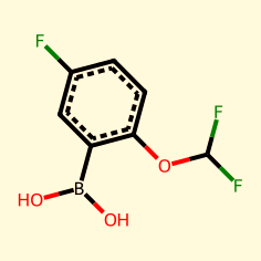 OB(O)c1cc(F)ccc1OC(F)F